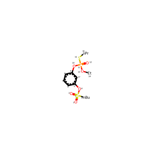 CCCCS(=O)(=O)Oc1cccc(OP(=O)(OCC)SCCC)c1